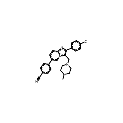 CN1CCN(Cc2c(-c3ccc(Cl)cc3)nc3ccc(-c4ccc(C#N)cc4)cn23)CC1